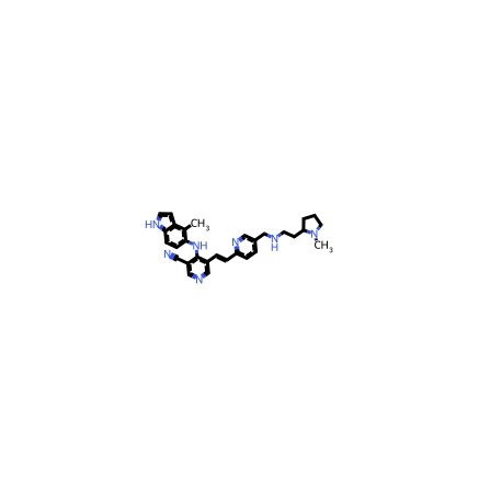 Cc1c(Nc2c(C#N)cncc2C=Cc2ccc(CNCCC3CCCN3C)cn2)ccc2[nH]ccc12